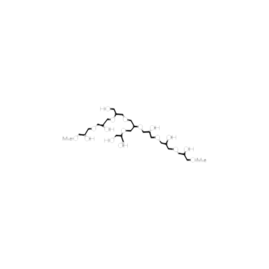 COCC(O)COCC(O)COCC(O)COC(COCC(CO)OCC(O)COCC(O)COC)COC(CO)CO